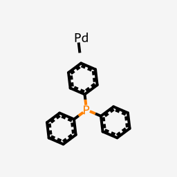 [CH3][Pd].c1ccc(P(c2ccccc2)c2ccccc2)cc1